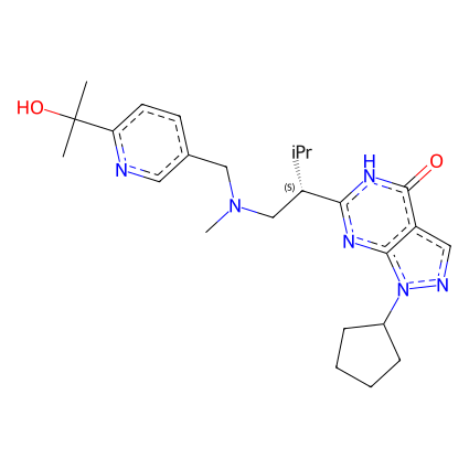 CC(C)[C@@H](CN(C)Cc1ccc(C(C)(C)O)nc1)c1nc2c(cnn2C2CCCC2)c(=O)[nH]1